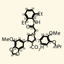 CCCOc1ccc([C@@H]2[C@@H](C(=O)O)[C@@H](c3cc(OC)c4c(c3)OCO4)CN2CC(=O)Nc2c(CC)cccc2CC)cc1OC